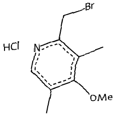 COc1c(C)cnc(CBr)c1C.Cl